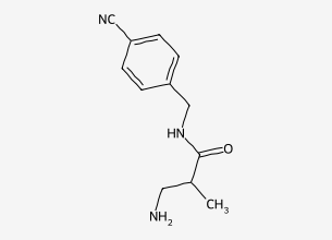 CC(CN)C(=O)NCc1ccc(C#N)cc1